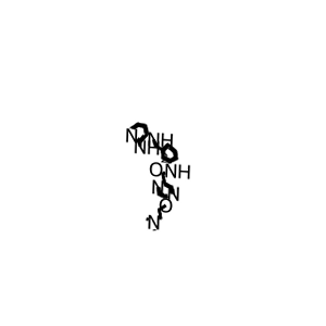 CN(C)CCOc1cnc(C(=O)Nc2cccc(CNc3cccnc3N)c2)cn1